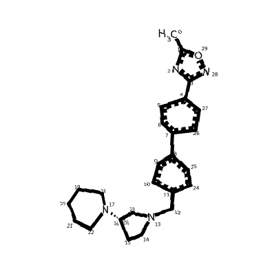 Cc1nc(-c2ccc(-c3ccc(CN4CC[C@H](N5CCCCC5)C4)cc3)cc2)no1